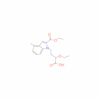 CCOC(=O)c1cc2c(C)cccc2n1CCC(OCC)C(=O)O